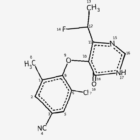 Cc1cc(C#N)cc(Cl)c1Oc1c(C(C)F)nc[nH]c1=O